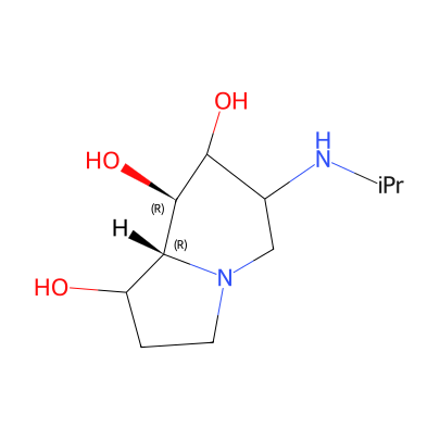 CC(C)NC1CN2CCC(O)[C@@H]2[C@@H](O)C1O